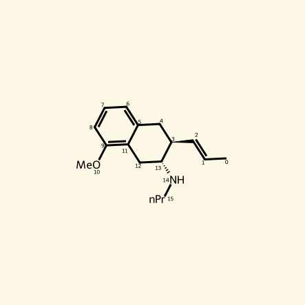 CC=C[C@@H]1Cc2cccc(OC)c2C[C@H]1NCCC